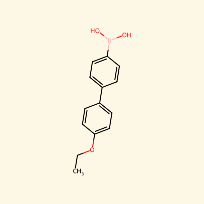 CCOc1ccc(-c2ccc(B(O)O)cc2)cc1